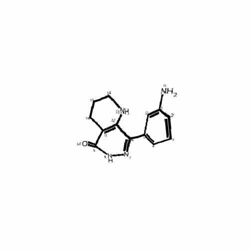 Nc1cccc(-c2n[nH]c(=O)c3c2NCCC3)c1